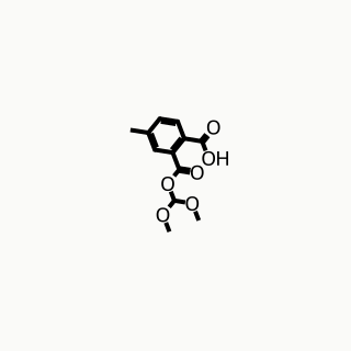 COC(OC)OC(=O)c1cc(C)ccc1C(=O)O